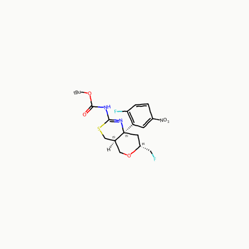 CC(C)(C)OC(=O)NC1=N[C@@]2(c3cc([N+](=O)[O-])ccc3F)C[C@H](CF)OC[C@H]2CS1